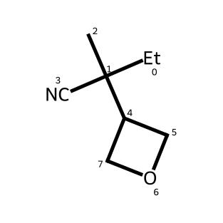 CCC(C)(C#N)C1COC1